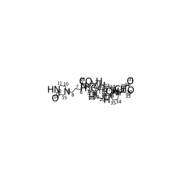 C[C@]12CC[C@H](N(CCCN3CCNC(=O)C3)C(=O)O)C[C@H]1CC[C@@H]1[C@@H]2CC[C@]2(C)[C@@H](C3=CC(=O)OC3)CC[C@]12O